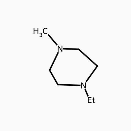 CCN1CCN(C)CC1